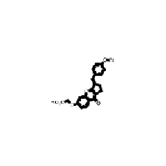 CCOc1ccc(C=C2CCc3c2oc2cc(OCC(=O)O)ccc2c3=O)cc1